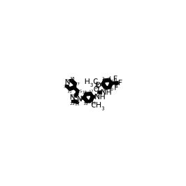 COc1ccc(C(F)(F)F)cc1NC(=O)Nc1ccc(-n2ccnc2Cc2ccncc2)cc1C